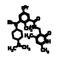 CCCc1cc(C(=O)NCc2c(C)cc(C)[nH]c2=O)c(C)c(N(CC)C2CCC(N(C)C)CC2)c1